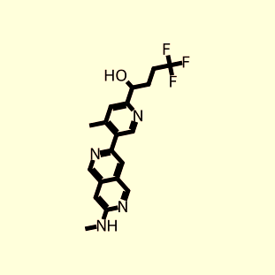 CNc1cc2cnc(-c3cnc(C(O)CCC(F)(F)F)cc3C)cc2cn1